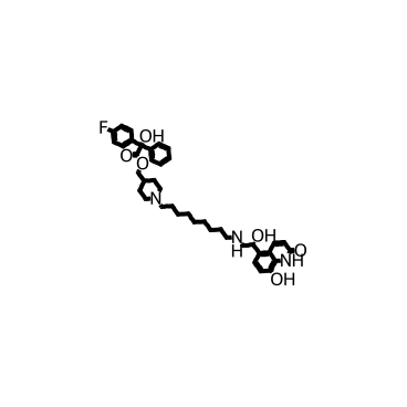 O=C(OCC1CCN(CCCCCCCCCNC[C@@H](O)c2ccc(O)c3[nH]c(=O)ccc23)CC1)C(O)(c1ccccc1)c1ccc(F)cc1